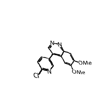 COc1cc2nncc(-c3ccc(Cl)nc3)c2cc1OC